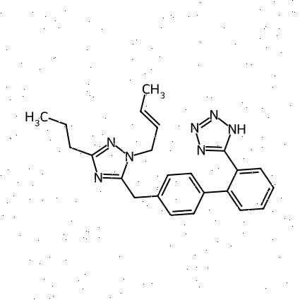 C/C=C/Cn1nc(CCC)nc1Cc1ccc(-c2ccccc2-c2nnn[nH]2)cc1